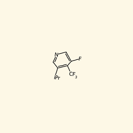 CC(C)c1cncc(F)c1C(F)(F)F